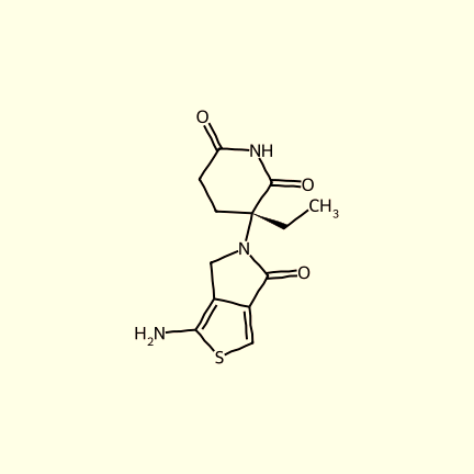 CC[C@@]1(N2Cc3c(csc3N)C2=O)CCC(=O)NC1=O